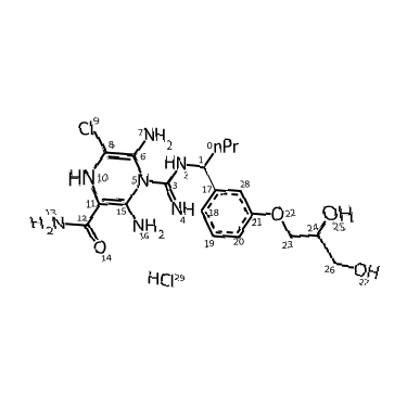 CCCC(NC(=N)N1C(N)=C(Cl)NC(C(N)=O)=C1N)c1cccc(OCC(O)CO)c1.Cl